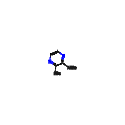 CCCCc1nc[c]nc1NC